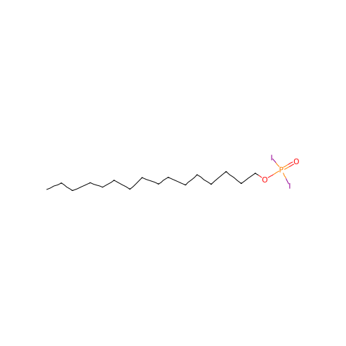 CCCCCCCCCCCCCCCCOP(=O)(I)I